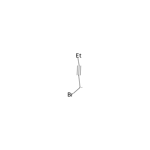 CCC#C[CH]Br